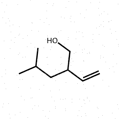 C=CC(CO)CC(C)C